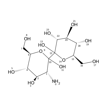 N[C@@H]1[C@@H](O)[C@H](O)[C@@H](CO)OC1(O)C1(O)O[C@H](CO)[C@@H](O)[C@H](O)[C@H]1O